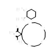 N[C@@H]1CCCC[C@H]1N.O=C(O)C1(C(=O)O)CCOCCOCCOCCOCC1